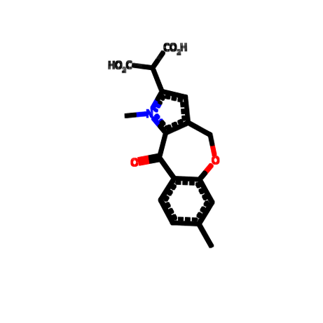 Cc1ccc2c(c1)OCc1cc(C(C(=O)O)C(=O)O)n(C)c1C2=O